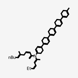 C=C(/C=C\C/C(C)=C/CCCC)N(C1=CC=C(C2=CC=C(C3=CC=C(C4=CC=C(C5=CC=C(C)CC5)CC4)CC3)CC2)CC1)/C(C)=C/C=C\CC